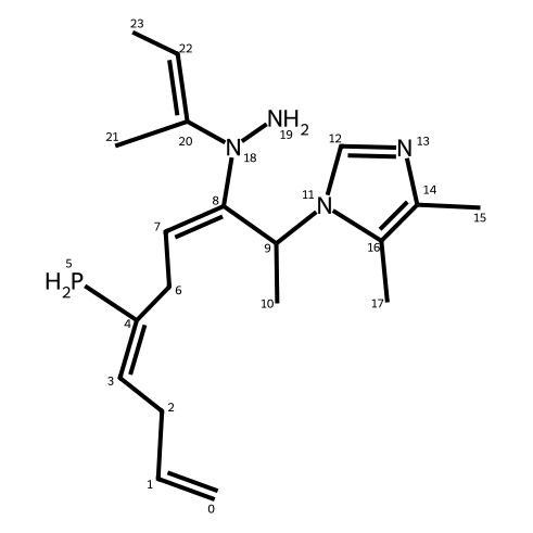 C=CC/C=C(/P)C/C=C(\C(C)n1cnc(C)c1C)N(N)/C(C)=C/C